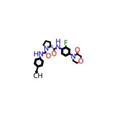 C#Cc1ccc(NC(=O)N2CCC[C@@H]2C(=O)Nc2ccc(N3CCOCC3=O)cc2F)cc1